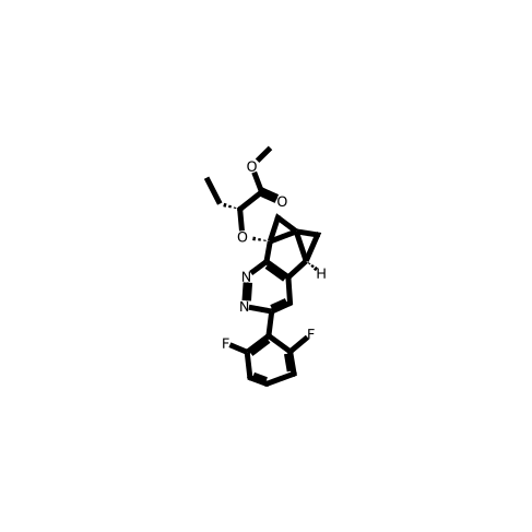 CC[C@@H](O[C@]12CC13C[C@H]3c1cc(-c3c(F)cccc3F)nnc12)C(=O)OC